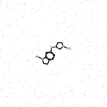 CC(C)N1CCc2ccc(O[C@H]3CCN(C)C3)cc21